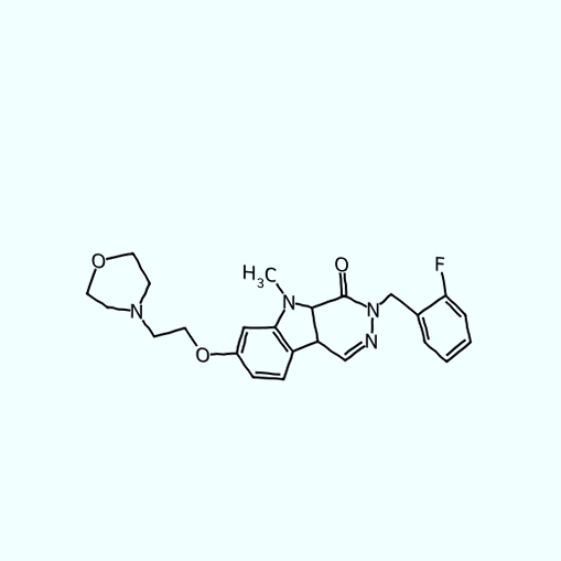 CN1c2cc(OCCN3CCOCC3)ccc2C2C=NN(Cc3ccccc3F)C(=O)C21